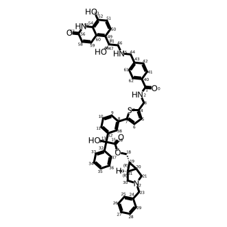 O=C(NCc1ccc(-c2cccc(C(O)(C(=O)OC[C@@H]3C4CN(Cc5ccccc5)C[C@H]43)c3ccccc3)c2)s1)c1ccc(CNC[C@H](O)c2ccc(O)c3[nH]c(=O)ccc23)cc1